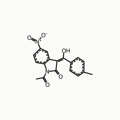 CC(=O)N1C(=O)/C(=C(/O)c2ccc(C)cc2)c2cc([N+](=O)[O-])ccc21